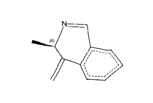 C=C1c2ccccc2C=N[C@@H]1C